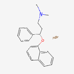 Br.CN(C)CCC(Oc1cccc2ccccc12)c1ccccc1